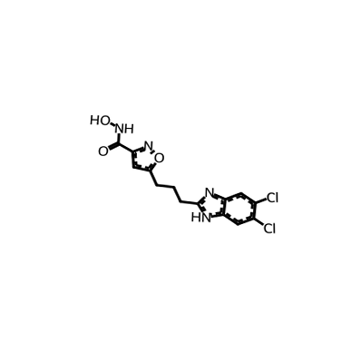 O=C(NO)c1cc(CCCc2nc3cc(Cl)c(Cl)cc3[nH]2)on1